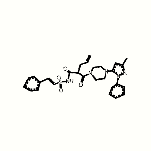 C=CCC(C(=O)NS(=O)(=O)C=Cc1ccccc1)C(=O)N1CCN(c2cc(C)nn2-c2ccccc2)CC1